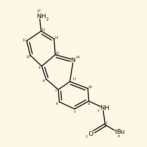 CC(C)(C)C(=O)Nc1ccc2cc3ccc(N)cc3nc2c1